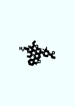 C=CC(=O)N1CCN(c2nc(=O)n(-c3c(CCC)nc(N)nc3CCC)c3nc(-c4ccccc4F)c(Cl)cc23)[C@@](C)(I)C1